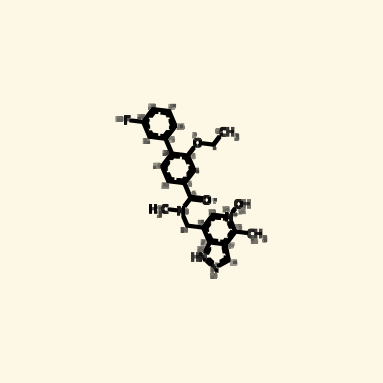 CCOc1cc(C(=O)N(C)Cc2c[n+](O)c(C)c3cn[nH]c23)ccc1-c1cccc(F)c1